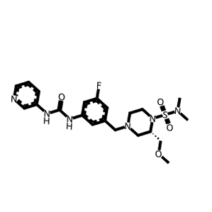 COC[C@@H]1CN(Cc2cc(F)cc(NC(=O)Nc3cccnc3)c2)CCN1S(=O)(=O)N(C)C